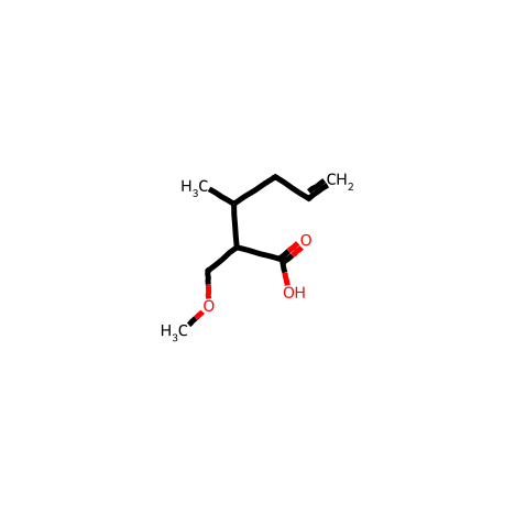 C=CCC(C)C(COC)C(=O)O